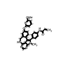 C=CC(=O)Nc1ccc(-c2c3c4c(ncnc4n2C)NCc2cc(Oc4cccc(OC)n4)ccc2-3)cc1